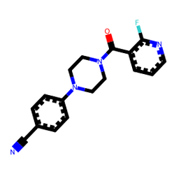 N#Cc1ccc(N2CCN(C(=O)c3cccnc3F)CC2)cc1